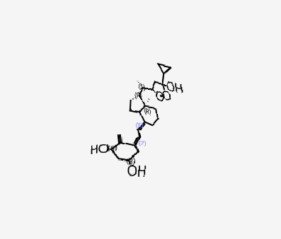 C=C1/C(=C\C=C2/CCC[C@@]3(C)C2CC[C@@H]3[C@H](C)C2CC(O)(C3CC3)OO2)C[C@@H](O)C[C@@H]1O